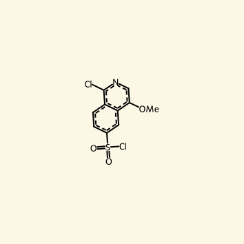 COc1cnc(Cl)c2ccc(S(=O)(=O)Cl)cc12